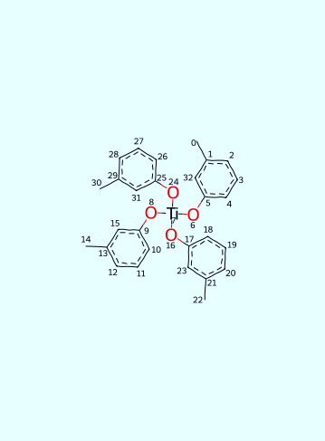 Cc1cccc([O][Ti]([O]c2cccc(C)c2)([O]c2cccc(C)c2)[O]c2cccc(C)c2)c1